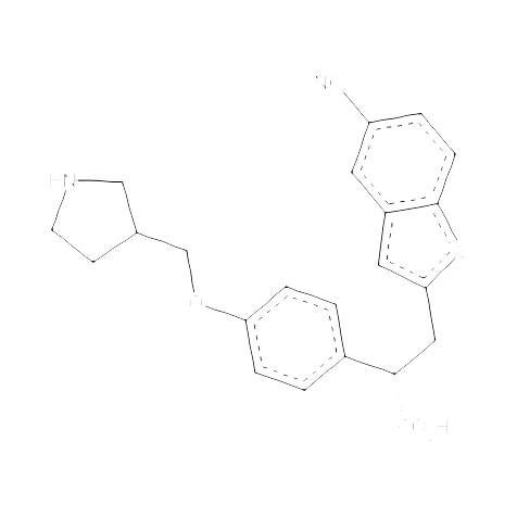 N#Cc1ccc2sc(C[C@H](C(=O)O)c3ccc(OCC4CCNC4)cc3)cc2c1